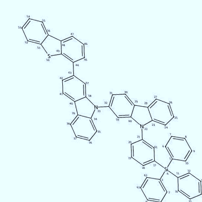 c1ccc([Si](c2ccccc2)(c2ccccc2)c2cccc(-n3c4ccccc4c4ccc(-n5c6ccccc6c6ccc(-c7cccc8c7sc7ccccc78)cc65)cc43)c2)cc1